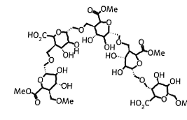 COC[C@H]1OC(C(=O)O)[C@H](COC[C@H]2OC(C(=O)OC)[C@H](COC[C@H]3OC(C(=O)OC)[C@H](COC[C@H]4OC(C(=O)O)[C@H](COC[C@H]5OC(C(=O)OC)[C@H](COC)[C@@H](O)C5O)[C@@H](O)C4O)[C@@H](O)C3O)[C@@H](O)C2O)[C@@H](O)C1O